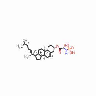 CC(C)CCC[C@@H](C)C1CC[C@H]2[C@@H]3CC=C4C[C@@H](OC(=O)CNP(=O)(O)O)CC[C@]4(C)[C@H]3CC[C@]12C